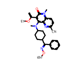 C=C(OCC)c1c(N(C)C2CCC(/C(=N/OC(C)(C)C)c3ccccc3)CC2)c2nc(C#N)ccc2n(C)c1=O